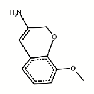 COc1cccc2c1OCC(N)=C2